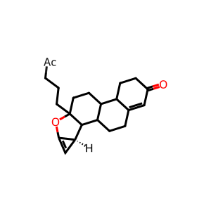 CC(=O)CCCC12CCC3C4CCC(=O)C=C4CCC3C1[C@H]1C=C1O2